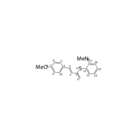 C=C(/C=C/c1ccc(OC)cc1)Sc1ccccc1NC